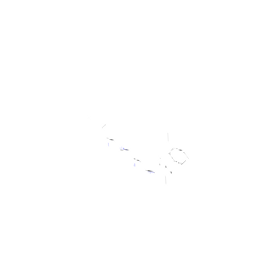 CC1=C(/C=C/C(C)=C/C=C/C(C)=C\C(=O)Nc2cccc(F)c2)C(C)(C)CCC1C